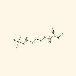 CCC(=O)NCCCCNCC(C)(C)C